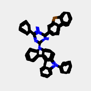 c1ccc(C2=NC(n3c4ccccc4c4c5c6ccccc6n(-c6ccccc6)c5ccc43)NC(c3ccc4c(c3)sc3ccccc34)N2)cc1